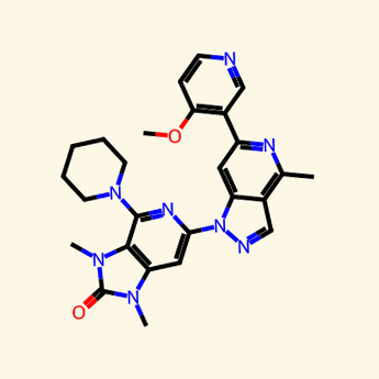 COc1ccncc1-c1cc2c(cnn2-c2cc3c(c(N4CCCCC4)n2)n(C)c(=O)n3C)c(C)n1